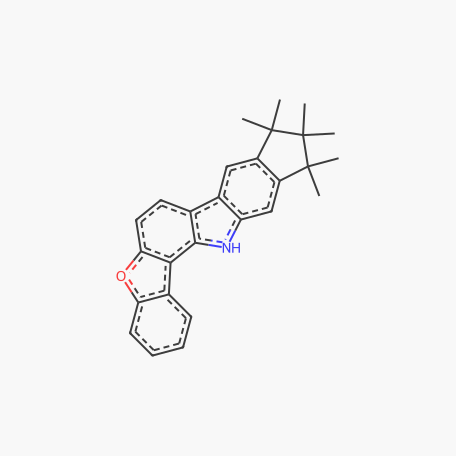 CC1(C)c2cc3[nH]c4c(ccc5oc6ccccc6c54)c3cc2C(C)(C)C1(C)C